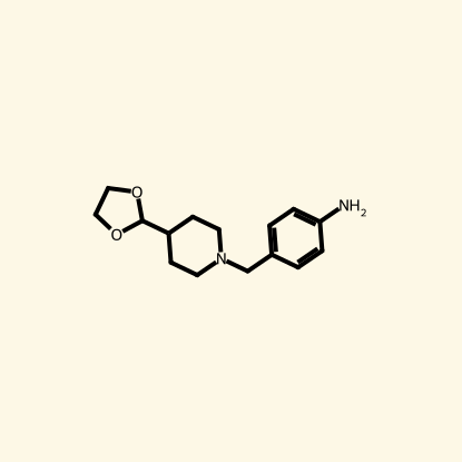 Nc1ccc(CN2CCC(C3OCCO3)CC2)cc1